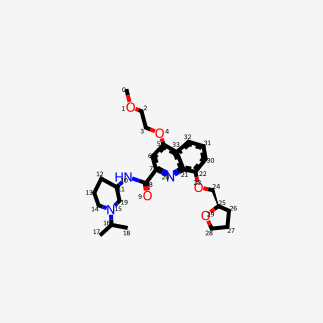 COCCOc1cc(C(=O)NC2CCCN(C(C)C)C2)nc2c(OC[C@H]3CCCO3)cccc12